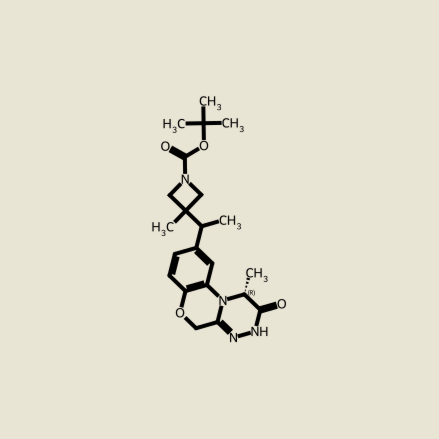 CC(c1ccc2c(c1)N1C(=NNC(=O)[C@H]1C)CO2)C1(C)CN(C(=O)OC(C)(C)C)C1